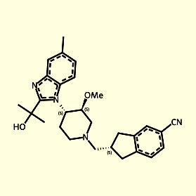 CO[C@H]1CN(C[C@H]2Cc3ccc(C#N)cc3C2)CC[C@@H]1n1c(C(C)(C)O)nc2cc(C)ccc21